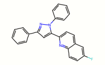 Fc1ccc2nc(-c3cc(-c4ccccc4)nn3-c3ccccc3)ccc2c1